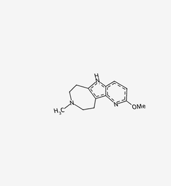 COc1ccc2[nH]c3c(c2n1)CCN(C)CC3